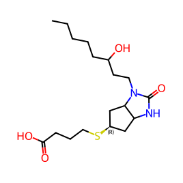 CCCCCC(O)CCN1C(=O)NC2C[C@@H](SCCCC(=O)O)CC21